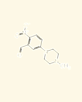 CN1CCN(c2ccc([N+](=O)[O-])c(C=O)c2)CC1